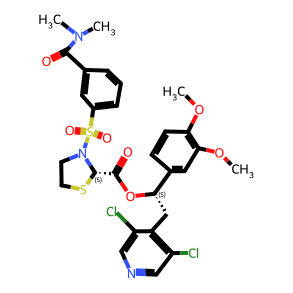 COc1ccc([C@H](Cc2c(Cl)cncc2Cl)OC(=O)[C@@H]2SCCN2S(=O)(=O)c2cccc(C(=O)N(C)C)c2)cc1OC